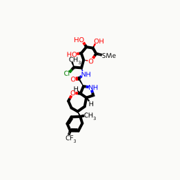 CSC1O[C@H]([C@H](NC(=O)[C@H]2NC[C@@H]3C[C@@H](C4(C)C=CC(C(F)(F)F)=CC4)CCO[C@H]32)[C@H](C)Cl)C(O)C(O)[C@H]1O